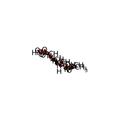 C[C@H]1C[C@@H](N2CCN(c3ccc(Nc4cc(-c5ccnc(N6CCn7c(cc8c7CC(C)(C)C8)C6=O)c5CO)cn(C)c4=O)nc3)[C@@H](C)C2)CCN1c1ccc2c(c1)C(=O)N(C1CCC(=O)NC1=O)C2=O